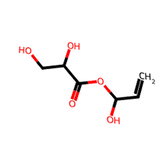 C=CC(O)OC(=O)C(O)CO